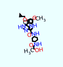 COc1ccc(C2(C)NC=Nc3c(C(=O)N[C@H]4CC[C@H](NC(=O)[C@H](C)O)CC4)c[nH]c32)c(OCC2CC2)c1